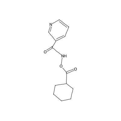 O=C(NOC(=O)C1CCCCC1)c1cccnc1